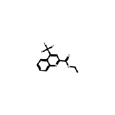 CCOC(=O)c1cc(C(F)(F)F)c2ccccc2n1